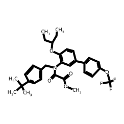 CCC(CC)Oc1ccc(-c2ccc(OC(F)(F)F)cc2)cc1N(Cc1ccc(C(C)(C)C)cc1)C(=O)C(=O)OC